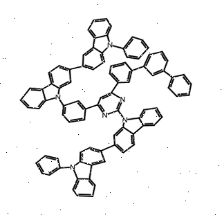 c1ccc(-c2cccc(-c3cccc(-c4cc(-c5cccc(-n6c7ccccc7c7ccc(-c8ccc9c(c8)c8ccccc8n9-c8ccccc8)cc76)c5)nc(-n5c6ccccc6c6ccc(-c7ccc8c(c7)c7ccccc7n8-c7ccccc7)cc65)n4)c3)c2)cc1